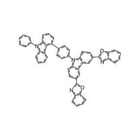 c1ccc(-n2c3ccccc3c3c(-c4ccc(-n5c6ccc(-c7nc8ccccc8o7)cc6c6cc(-c7nc8ccccc8o7)ccc65)cc4)cccc32)cc1